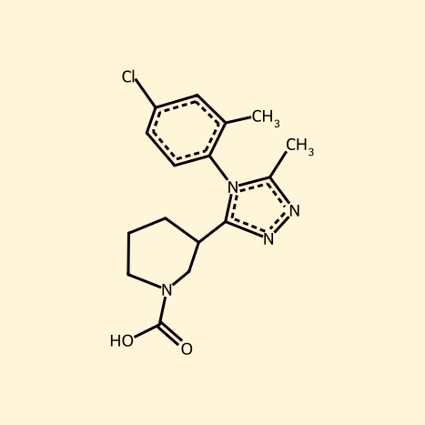 Cc1cc(Cl)ccc1-n1c(C)nnc1C1CCCN(C(=O)O)C1